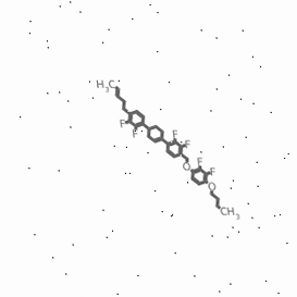 C/C=C/CCc1ccc(C2CC=C(c3ccc(COc4ccc(OCCCC)c(F)c4F)c(F)c3F)CC2)c(F)c1F